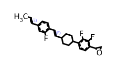 C/C=C/c1ccc(/C=C/C2CCC(c3ccc(C4CO4)c(F)c3F)CC2)c(F)c1